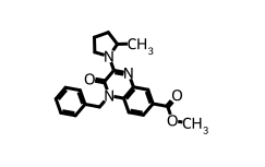 COC(=O)c1ccc2c(c1)nc(N1CCCC1C)c(=O)n2Cc1ccccc1